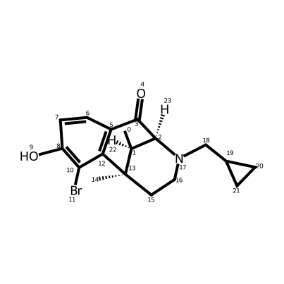 C[C@H]1[C@H]2C(=O)c3ccc(O)c(Br)c3[C@]1(C)CCN2CC1CC1